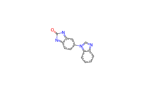 O=C1N=c2ccc(-n3cnc4ccccc43)cc2=N1